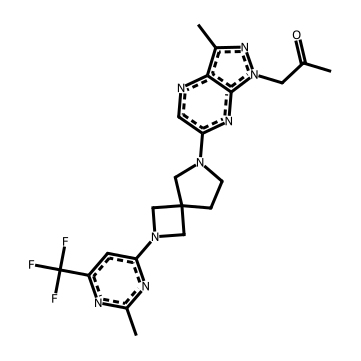 CC(=O)Cn1nc(C)c2ncc(N3CCC4(CN(c5cc(C(F)(F)F)nc(C)n5)C4)C3)nc21